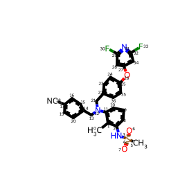 Cc1c(NS(C)(=O)=O)cccc1N(Cc1ccc(C#N)cc1)Cc1ccc(Oc2cc(F)nc(F)c2)cc1